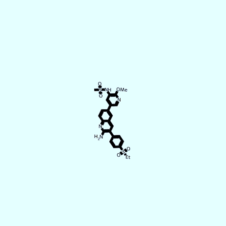 CCS(=O)(=O)c1ccc(-c2cc3cc(-c4cnc(OC)c(NS(C)(=O)=O)c4)ccc3nc2N)cc1